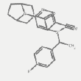 CC(c1ccc(F)cc1)[S+]([O-])CC(=O)N1CC2CCC(C1)N2c1ccc(C#N)cn1